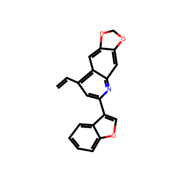 C=Cc1cc(-c2coc3ccccc23)nc2cc3c(cc12)OCO3